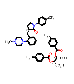 CN1CCN(c2ccccc2C[C@H]2CCN(c3ccc(C(F)(F)F)cc3)C2=O)CC1.Cc1ccc(C(=O)O[C@H](C(=O)O)[C@H](OC(=O)c2ccc(C)cc2)C(=O)O)cc1